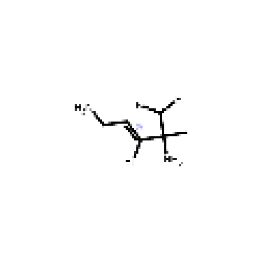 CC/C(=C\CN)C(C)(N)C(F)F